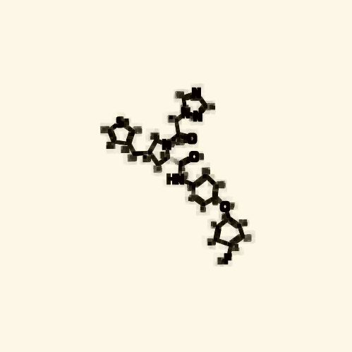 O=C(Nc1ccc(Oc2ccc(F)cc2)cc1)[C@@H]1C[C@@H](Cc2ccsc2)CN1C(=O)Cn1cncn1